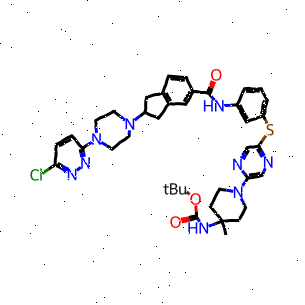 CC1(NC(=O)OC(C)(C)C)CCN(c2cnc(Sc3cccc(NC(=O)c4ccc5c(c4)CC(N4CCN(c6ccc(Cl)nn6)CC4)C5)c3)cn2)CC1